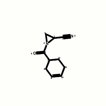 N#CC1CN1C(=O)C1CC=CCC1